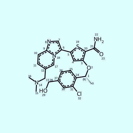 C[C@@H](Oc1cc(-c2cnc3ccc(CN(C)C)cn23)sc1C(N)=O)c1ccc(CO)cc1Cl